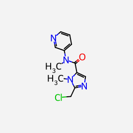 CN(C(=O)c1cnc(CCl)n1C)c1cccnc1